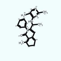 CC1=c2c(cc(C(C)Nc3nc(C)ncc3N)n(-c3ccccc3)c2=O)=CCC1